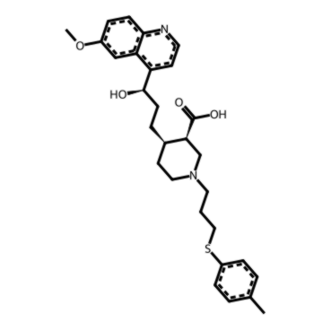 COc1ccc2nccc([C@H](O)CC[C@@H]3CCN(CCCSc4ccc(C)cc4)C[C@@H]3C(=O)O)c2c1